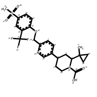 CC1(C2CC(c3ccc(COc4ccc(S(C)(=O)=O)cc4C(F)(F)F)nc3)CCN2C(=O)O)CC1